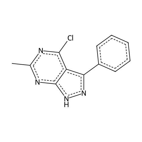 Cc1nc(Cl)c2c(-c3ccccc3)n[nH]c2n1